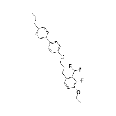 CCCc1ccc(-c2ccc(OCCCc3ccc(OCC)c(F)c3C(F)F)cc2)cc1